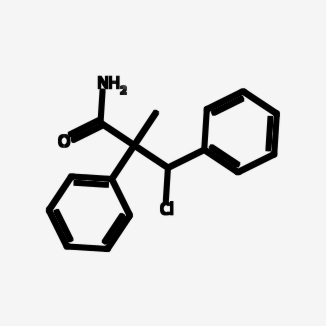 CC(C(N)=O)(c1ccccc1)C(Cl)c1ccccc1